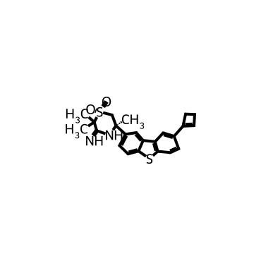 CC1(C)C(=N)N[C@](C)(c2ccc3sc4ccc(C5=CCC5)cc4c3c2)CS1(=O)=O